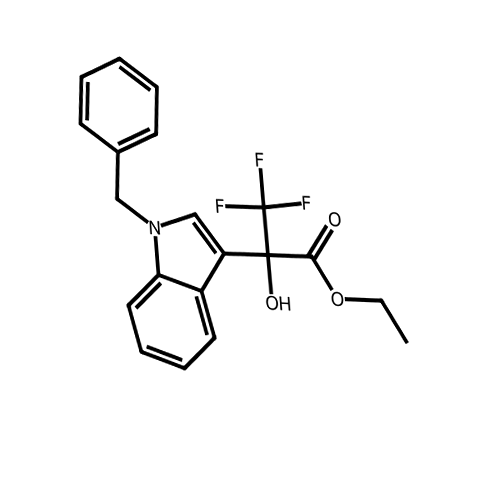 CCOC(=O)C(O)(c1cn(Cc2ccccc2)c2ccccc12)C(F)(F)F